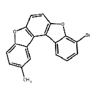 Cc1ccc2oc3ccc4oc5c(Br)cccc5c4c3c2c1